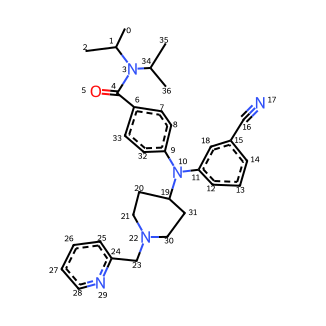 CC(C)N(C(=O)c1ccc(N(c2cccc(C#N)c2)C2CCN(Cc3ccccn3)CC2)cc1)C(C)C